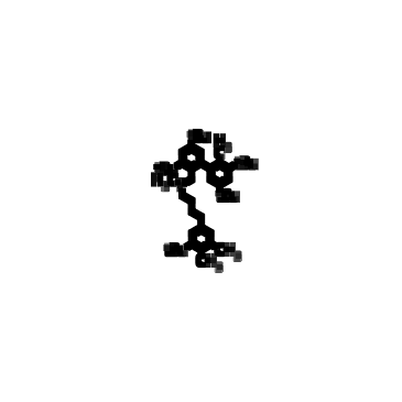 Cc1cc(CCCCP(C)Cc2c(-c3cc(C(C)(C)C)cc(C(C)(C)C)c3C)cc(C(C)(C)C)cc2C(C)(C)C)cc(C(C)(C)C)c1C